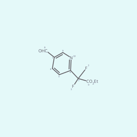 CCOC(=O)C(F)(F)c1ccc(C=O)cn1